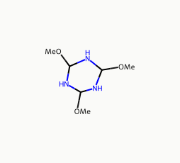 COC1NC(OC)NC(OC)N1